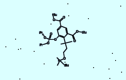 CC(C)OP(=O)(Oc1cc(C(=O)OC(C)(C)C)cc(C(=O)OC(C)(C)C)c1C(C)(C)CCO[Si](C)(C)C(C)(C)C)OC(C)C